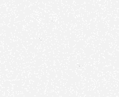 Nc1ccc(S(N)(=O)=O)c(-c2ccccc2)c1[N+](=O)[O-]